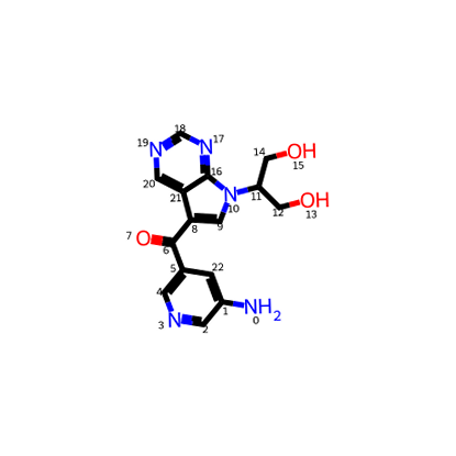 Nc1cncc(C(=O)c2cn(C(CO)CO)c3ncncc23)c1